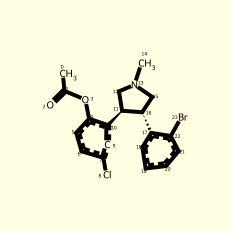 CC(=O)Oc1ccc(Cl)cc1[C@H]1CN(C)C[C@@H]1c1ccccc1Br